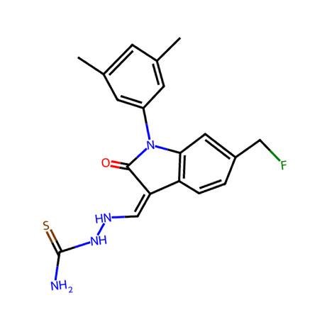 Cc1cc(C)cc(N2C(=O)/C(=C\NNC(N)=S)c3ccc(CF)cc32)c1